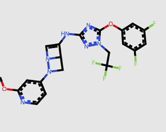 COc1cc(N2CC3C(Nc4nc(Oc5cc(F)cc(F)c5)n(CC(F)(F)F)n4)=CN32)ccn1